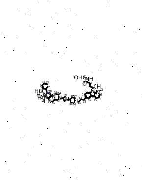 CC(CCC(=O)NC=O)n1c2ccc(CCCN3CCC(N4CC(N5CCN6C(/C=C(\N)c7ccccc7O)=C(N)NCC6C5)C4)CC3)cc2c2cccnc21